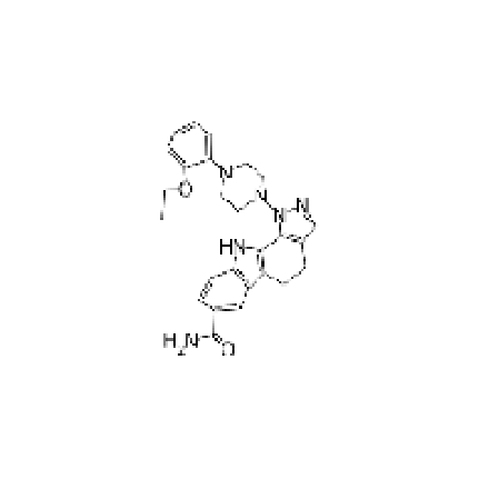 CCOc1ccccc1N1CCN(n2ncc3c2-c2[nH]c4ccc(C(N)=O)cc4c2CC3)CC1